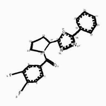 O=C(c1ccc(F)c(F)c1)N1CCCC1c1nnc(-c2ccccc2)o1